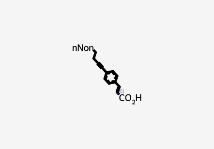 CCCCCCCCCCCC#Cc1ccc(/C=C/C(=O)O)cc1